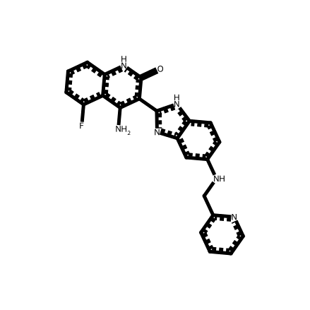 Nc1c(-c2nc3cc(NCc4ccccn4)ccc3[nH]2)c(=O)[nH]c2cccc(F)c12